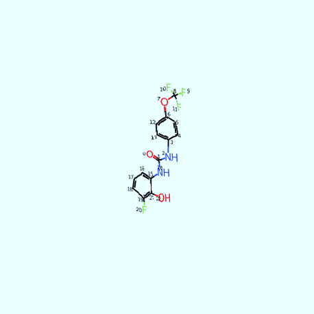 O=C(Nc1ccc(OC(F)(F)F)cc1)Nc1cccc(F)c1O